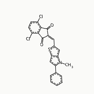 Cn1c(-c2ccccc2)cc2sc(C=C3C(=O)c4c(Cl)ccc(Cl)c4C3=O)cc21